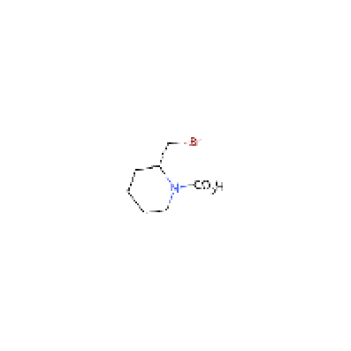 O=C(O)N1CCCCC1CBr